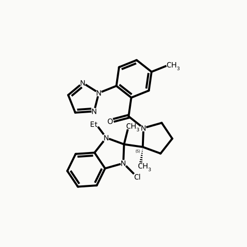 CCN1c2ccccc2N(Cl)C1(C)[C@]1(C)CCCN1C(=O)c1cc(C)ccc1-n1nccn1